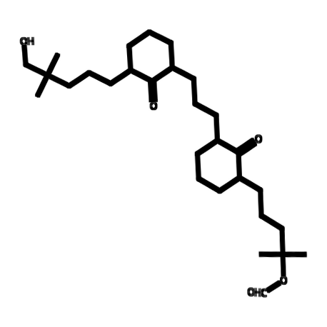 CC(C)(CO)CCCC1CCCC(CCCC2CCCC(CCCC(C)(C)OC=O)C2=O)C1=O